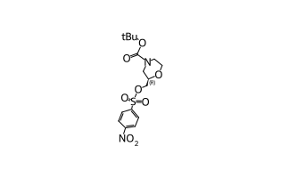 CC(C)(C)OC(=O)N1CCO[C@@H](COS(=O)(=O)c2ccc([N+](=O)[O-])cc2)C1